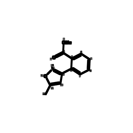 COC(=O)c1ccccc1-c1cc(C)on1